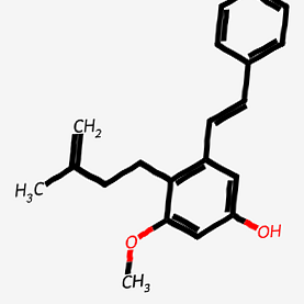 C=C(C)CCc1c(C=Cc2ccccc2)cc(O)cc1OC